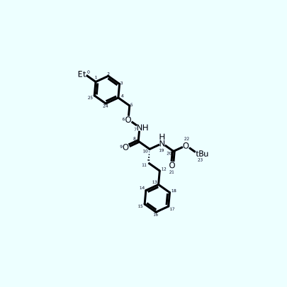 CCc1ccc(CONC(=O)[C@@H](CCc2ccccc2)NC(=O)OC(C)(C)C)cc1